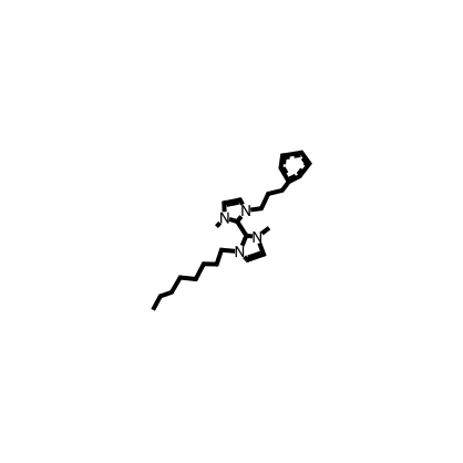 CCCCCCCCN1C=CN(C)C1C1N(C)C=CN1CCCc1ccccc1